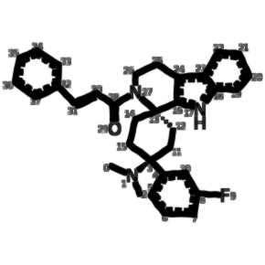 CN(C)[C@]1(c2cccc(F)c2)CC[C@@]2(CC1)c1[nH]c3ccccc3c1CCN2C(=O)/C=C/c1ccccc1